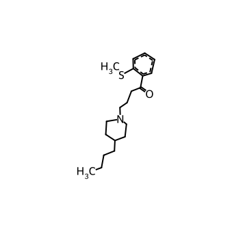 CCCCC1CCN(CCCC(=O)c2ccccc2SC)CC1